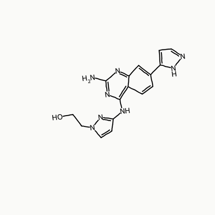 Nc1nc(Nc2ccn(CCO)n2)c2ccc(-c3ccn[nH]3)cc2n1